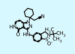 CC(C)(C)N1Cc2cc(Nc3nn(C4(CC#N)CCCCC4)c4cc[nH]c(=O)c34)ccc2[S+]1[O-]